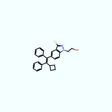 OCCn1nc(F)c2cc(/C(=C(/c3ccccc3)C3CCC3)c3[c]cccc3)ccc21